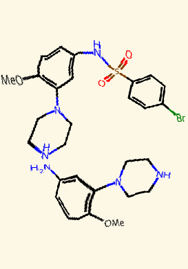 COc1ccc(N)cc1N1CCNCC1.COc1ccc(NS(=O)(=O)c2ccc(Br)cc2)cc1N1CCNCC1